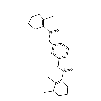 CC1=C([PH](=O)Oc2cccc(O[PH](=O)C3=C(C)C(C)CCC3)c2)CCCC1C